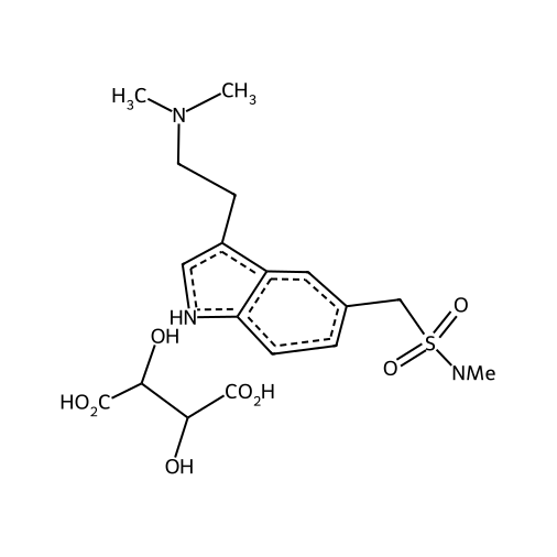 CNS(=O)(=O)Cc1ccc2[nH]cc(CCN(C)C)c2c1.O=C(O)C(O)C(O)C(=O)O